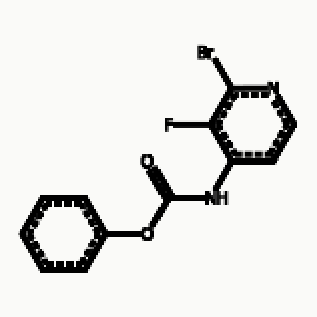 O=C(Nc1ccnc(Br)c1F)Oc1ccccc1